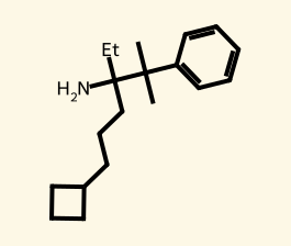 CCC(N)(CCCC1CCC1)C(C)(C)c1ccccc1